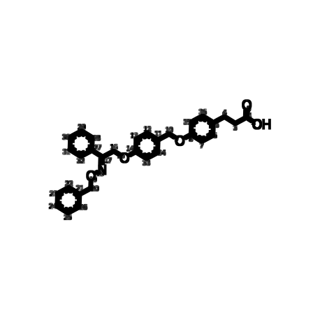 O=C(O)CCc1ccc(OCc2ccc(OCC(=NOCc3ccccc3)c3ccccc3)cc2)cc1